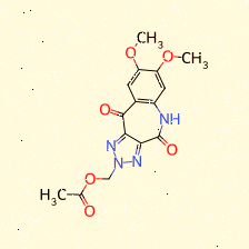 COc1cc2[nH]c(=O)c3nn(COC(C)=O)nc3c(=O)c2cc1OC